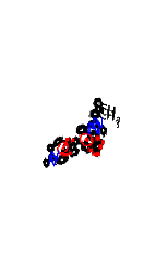 CC1(C)c2ccccc2-c2ccc(-c3cc(-c4ccccc4-c4cccc5c4Oc4c(-c6cccc7c6-c6ccccc6C76c7ccccc7Oc7c(-c8cccc(-c9cccc(-c%10cc(-c%11ccccc%11)nc(-c%11ccccc%11)n%10)c9)c8)cccc76)cccc4C54c5ccccc5-c5ccccc54)nc(-c4ccccc4)n3)cc21